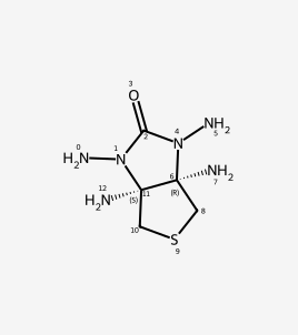 NN1C(=O)N(N)[C@@]2(N)CSC[C@@]12N